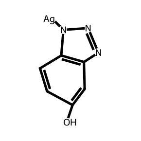 Oc1ccc2c(c1)nn[n]2[Ag]